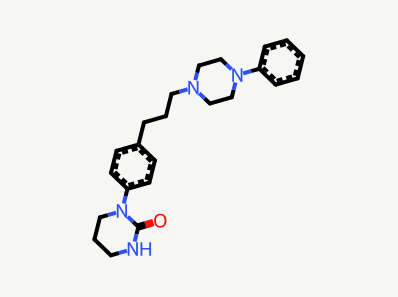 O=C1NCCCN1c1ccc(CCCN2CCN(c3ccccc3)CC2)cc1